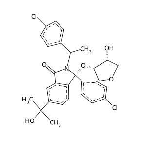 CC(c1ccc(Cl)cc1)N1C(=O)c2cc(C(C)(C)O)ccc2[C@]1(O[C@H]1COC[C@H]1O)c1ccc(Cl)cc1